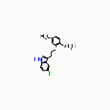 Cc1ccc(S(=O)(=O)O)c(CCCc2c[nH]c3ccc(F)cc23)c1